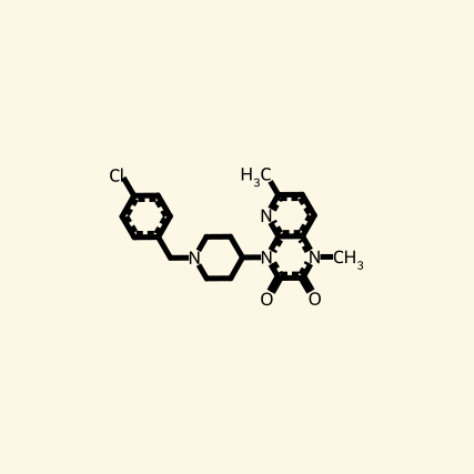 Cc1ccc2c(n1)n(C1CCN(Cc3ccc(Cl)cc3)CC1)c(=O)c(=O)n2C